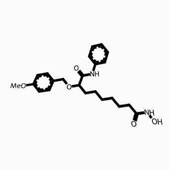 COc1ccc(COC(CCCCCCC(=O)NO)C(=O)Nc2ccccc2)cc1